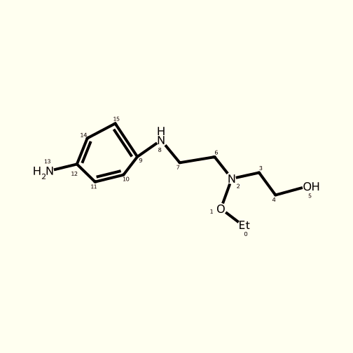 CCON(CCO)CCNc1ccc(N)cc1